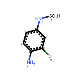 Nc1ccc(NS(=O)(=O)O)cc1Cl